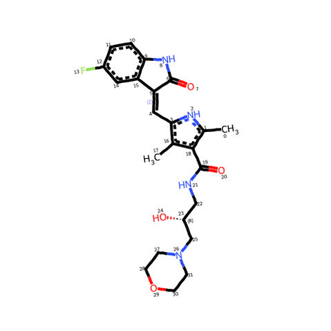 Cc1[nH]c(/C=C2\C(=O)Nc3ccc(F)cc32)c(C)c1C(=O)NC[C@@H](O)CN1CCOCC1